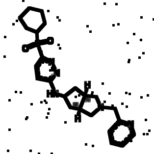 O=S(=O)(c1ccc(NC2C[C@@H]3CN(Cc4ccccn4)C[C@@H]3C2)nn1)C1CCCCC1